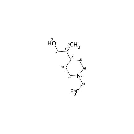 CC(CO)C1CCN(CC(F)(F)F)CC1